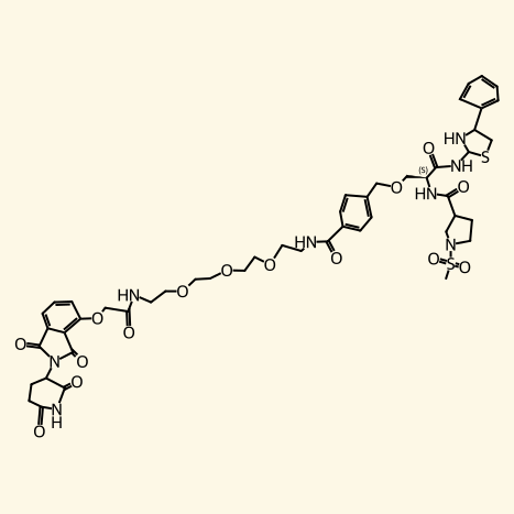 CS(=O)(=O)N1CCC(C(=O)N[C@@H](COCc2ccc(C(=O)NCCOCCOCCOCCNC(=O)COc3cccc4c3C(=O)N(C3CCC(=O)NC3=O)C4=O)cc2)C(=O)NC2NC(c3ccccc3)CS2)C1